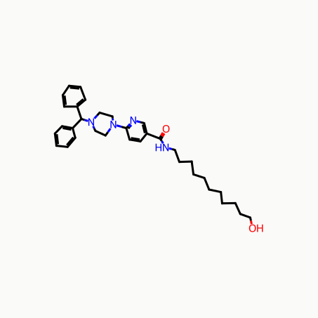 O=C(NCCCCCCCCCCCO)c1ccc(N2CCN(C(c3ccccc3)c3ccccc3)CC2)nc1